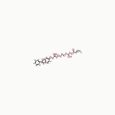 C=CC(=O)OCC(O)COCCOCC(O)COc1ccc2cc(-c3ccccc3)oc2c1